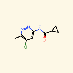 Cc1nnc(NC(=O)C2CC2)cc1Cl